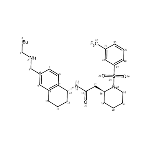 CCC(C)CNCc1ccc2c(c1)CCC[C@H]2NC(=O)C[C@@H]1CCCCN1S(=O)(=O)c1cccc(C(F)(F)F)c1